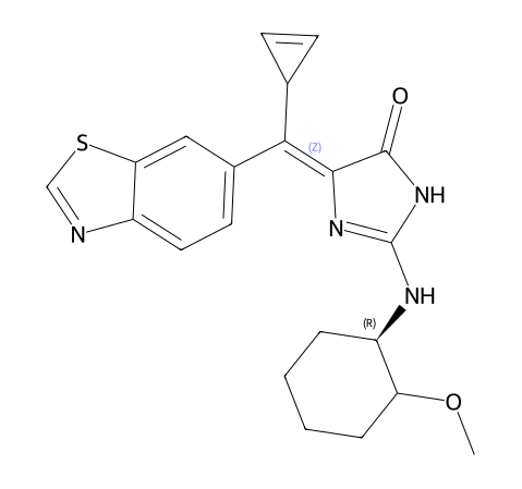 COC1CCCC[C@H]1NC1=N/C(=C(\c2ccc3ncsc3c2)C2C=C2)C(=O)N1